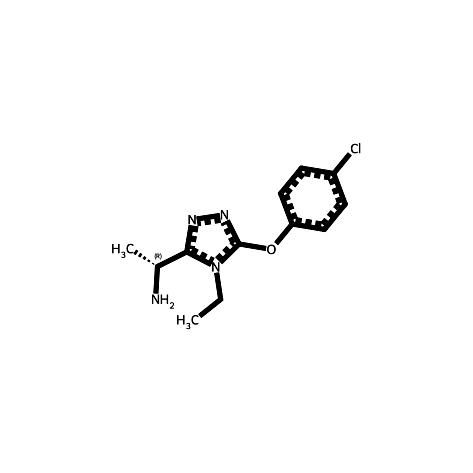 CCn1c(Oc2ccc(Cl)cc2)nnc1[C@@H](C)N